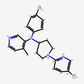 Cc1ccncc1N(c1ccc(C(F)(F)F)cc1)C1CCN(c2ccc(C(F)(F)F)cn2)CC1